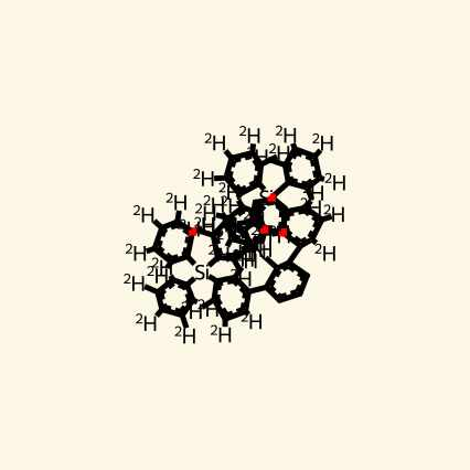 [2H]c1c([2H])c([2H])c([Si](c2c([2H])c([2H])c([2H])c([2H])c2[2H])(c2c([2H])c([2H])c([2H])c([2H])c2[2H])c2c([2H])c([2H])c([2H])c(-c3cccc(-c4c([2H])c([2H])c([2H])c([Si](c5c([2H])c([2H])c([2H])c([2H])c5[2H])(c5c([2H])c([2H])c([2H])c([2H])c5[2H])c5c([2H])c([2H])c([2H])c([2H])c5[2H])c4[2H])c3Nc3ccccc3N)c2[2H])c([2H])c1[2H]